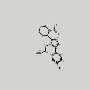 CCC(=O)N1CCCCC1c1ncc(-c2ccc(C)cc2)n1CCC=O